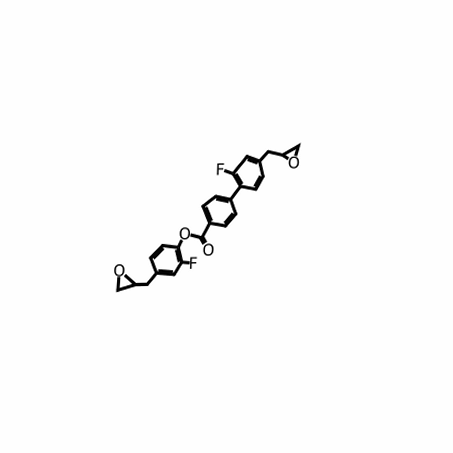 O=C(Oc1ccc(CC2CO2)cc1F)c1ccc(-c2ccc(CC3CO3)cc2F)cc1